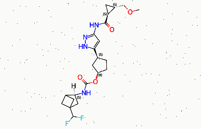 COC[C@H]1C[C@@H]1C(=O)Nc1cc([C@H]2CC[C@@H](OC(=O)N[C@H]3CC4(C(F)F)CC3C4)C2)[nH]n1